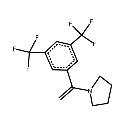 C=C(c1cc(C(F)(F)F)cc(C(F)(F)F)c1)N1CCCC1